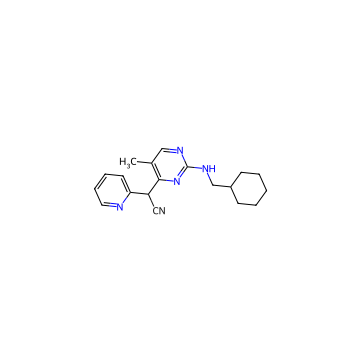 Cc1cnc(NCC2CCCCC2)nc1C(C#N)c1ccccn1